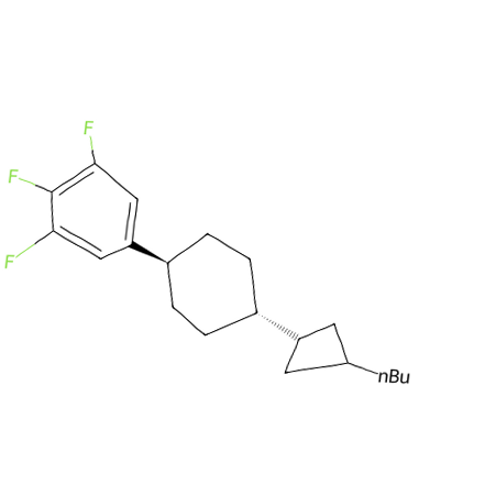 CCCCC1CC([C@H]2CC[C@H](c3cc(F)c(F)c(F)c3)CC2)C1